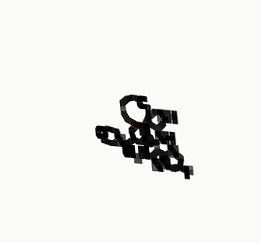 Nc1nn2cc(F)cnc2c1C(=O)NC1CNCC2(CCCCCCCCC2)C1N1CCC(C(=O)N2CCOCC2)CC1